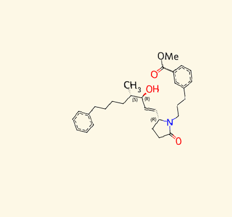 COC(=O)c1cccc(CCCN2C(=O)CC[C@@H]2C=C[C@H](O)[C@@H](C)CCCCc2ccccc2)c1